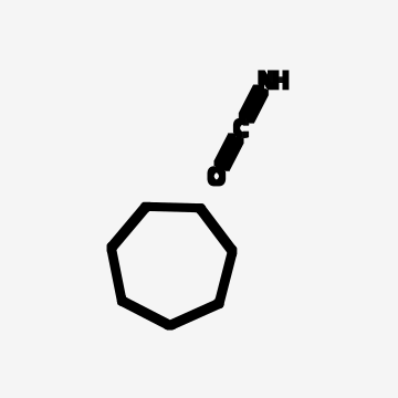 C1CCCCCC1.N=C=O